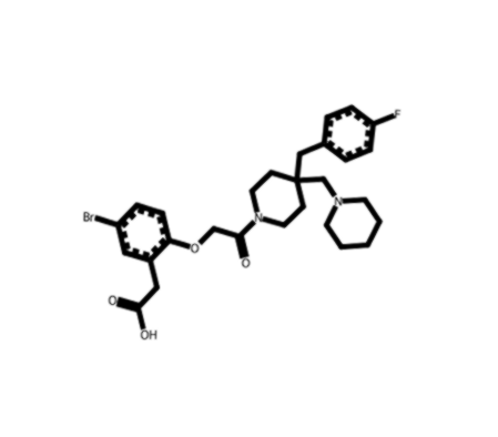 O=C(O)Cc1cc(Br)ccc1OCC(=O)N1CCC(Cc2ccc(F)cc2)(CN2CCCCC2)CC1